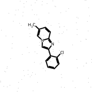 Cc1ccc2nc(-c3ccccc3Cl)cn2c1